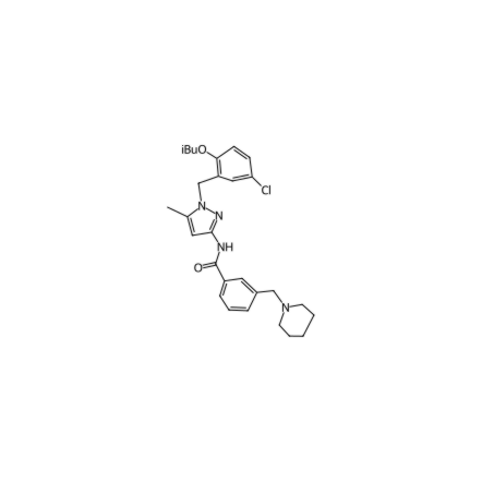 Cc1cc(NC(=O)c2cccc(CN3CCCCC3)c2)nn1Cc1cc(Cl)ccc1OCC(C)C